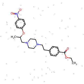 CCOC(=O)c1ccc(CCN2CCN(CC(C)Oc3ccc([N+](=O)[O-])cc3)CC2)cc1